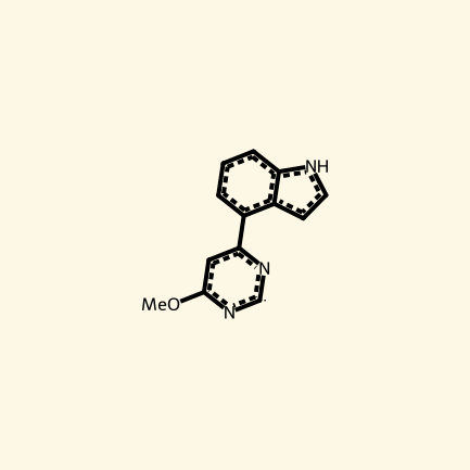 COc1cc(-c2cccc3[nH]ccc23)n[c]n1